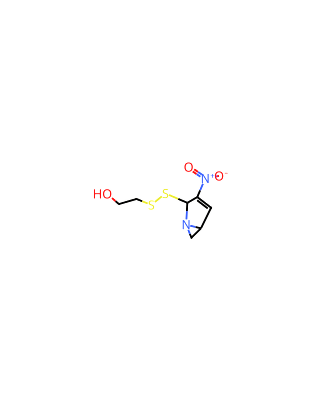 O=[N+]([O-])C1=CC2CN2C1SSCCO